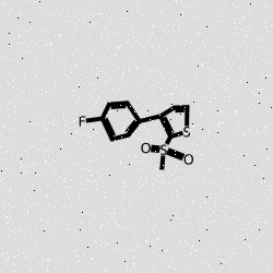 CS(=O)(=O)c1sccc1-c1ccc(F)cc1